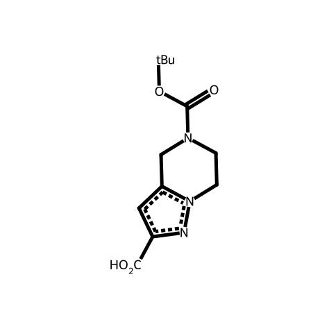 CC(C)(C)OC(=O)N1CCn2nc(C(=O)O)cc2C1